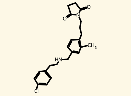 Cc1cc(CNCCc2ccc(Cl)cc2)ccc1CCCN1C(=O)CCC1=O